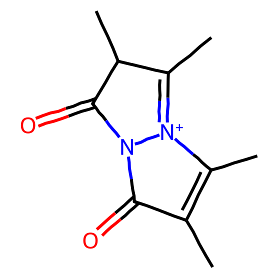 CC1=C(C)[N+]2=C(C)C(C)C(=O)N2C1=O